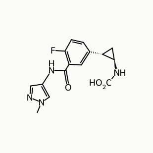 Cn1cc(NC(=O)c2cc([C@@H]3C[C@H]3NC(=O)O)ccc2F)cn1